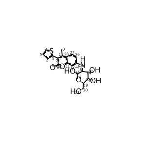 Cc1c(-c2cccs2)c(=O)oc2cc(NC3C(O)OC(CO)[C@H](O)[C@H]3O)ccc12